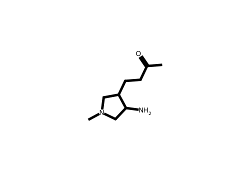 CC(=O)CCC1CN(C)CC1N